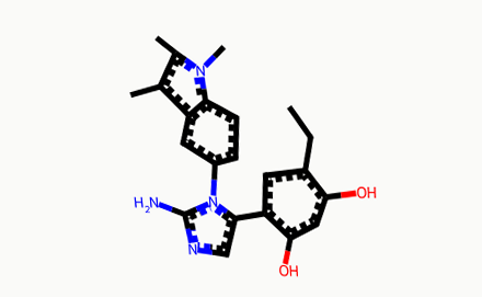 CCc1cc(-c2cnc(N)n2-c2ccc3c(c2)c(C)c(C)n3C)c(O)cc1O